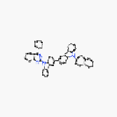 C1=C=c2c(c3cc(-c4ccc5c(c4)c4ccccc4n5-c4nc(-c5ccccc5)c5ccccc5n4)ccc3n2-c2ccc3ccccc3c2)=CC=1